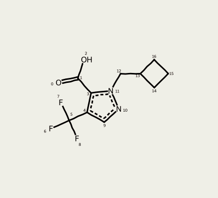 O=C(O)c1c(C(F)(F)F)cnn1CC1CCC1